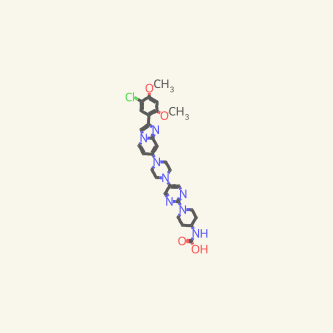 COc1cc(OC)c(-c2cn3ccc(N4CCN(c5cnc(N6CCC(NC(=O)O)CC6)nc5)CC4)cc3n2)cc1Cl